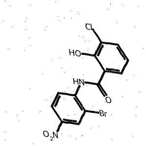 O=C(Nc1ccc([N+](=O)[O-])cc1Br)c1cccc(Cl)c1O